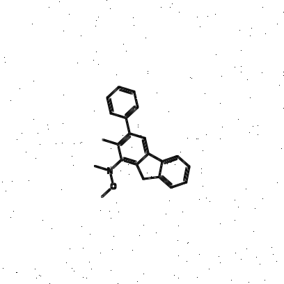 CON(C)c1c(C)c(-c2ccccc2)cc2c1Cc1ccccc1-2